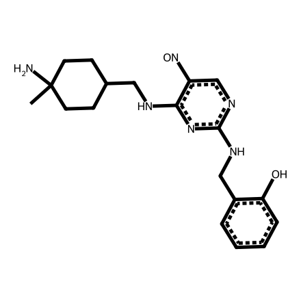 CC1(N)CCC(CNc2nc(NCc3ccccc3O)ncc2N=O)CC1